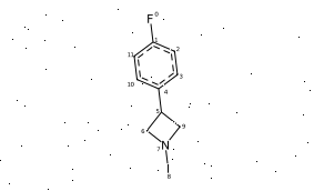 Fc1ccc(C2CN(I)C2)cc1